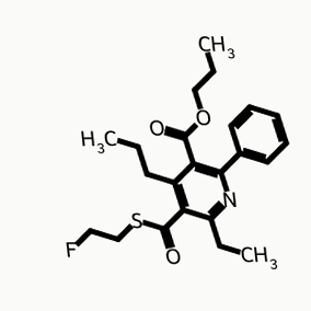 CCCOC(=O)c1c(-c2ccccc2)nc(CC)c(C(=O)SCCF)c1CCC